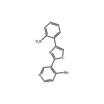 CC(C)(C)c1ccncc1-c1nc(-c2ccccc2[N+](=O)[O-])cs1